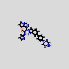 O=C(Nc1nccs1)C(c1ncn2c1CCC2)n1cc2ccc(-c3ccc(N4CCNCC4)cc3)c(F)c2n1